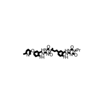 Cc1ccc(Oc2ccc(F)c([C@H](C)Nc3nc(=O)n(C(C)CCc4ccc(F)c([C@H](C)Nc5nc(=O)n(C(C)C)c(=O)[nH]5)c4)c(=O)[nH]3)c2)cn1